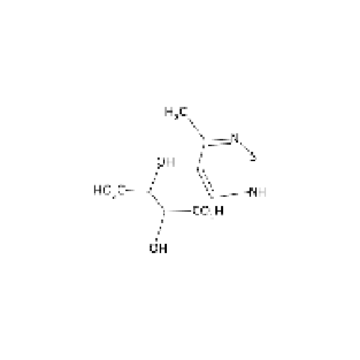 CC1=NSNC=C1.O=C(O)C(O)C(O)C(=O)O